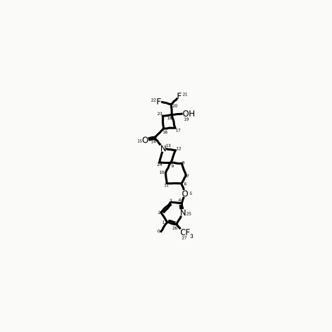 Cc1ccc(OC2CCC3(CC2)CN(C(=O)C2CC(O)(C(F)F)C2)C3)nc1C(F)(F)F